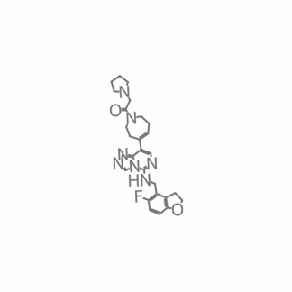 O=C(CN1CCCC1)N1CCC=C(c2cnc(NCc3c(F)ccc4c3CCO4)n3cnnc23)CC1